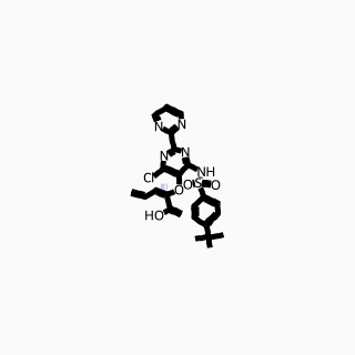 C=C/C=C(/Oc1c(Cl)nc(-c2ncccn2)nc1NS(=O)(=O)c1ccc(C(C)(C)C)cc1)C(=C)O